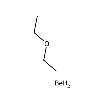 CCOCC.[BeH2]